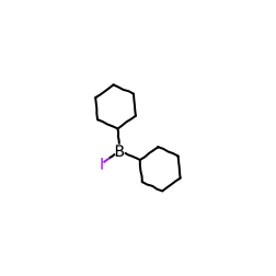 IB(C1CCCCC1)C1CCCCC1